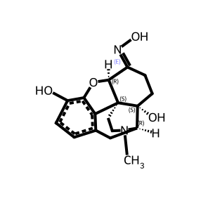 CN1CC[C@]23c4c5ccc(O)c4O[C@H]2/C(=N/O)CC[C@@]3(O)[C@H]1C5